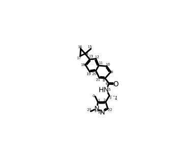 Cc1c([C@@H](C)NC(=O)c2ccc3cc(C4(C)CC4)ccc3c2)cnn1C